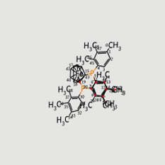 Cc1ccc(P(c2ccc(C)c(C)c2C)[C]23[CH]4[CH]5[CH]6[C]2(P(c2ccc(C)c(C)c2C)c2ccc(C)c(C)c2C)[Fe]54632789[CH]3[CH]2[CH]7[CH]8[CH]39)c(C)c1C